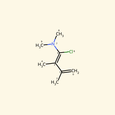 C=C(C)/C(C)=C(\Cl)N(C)C